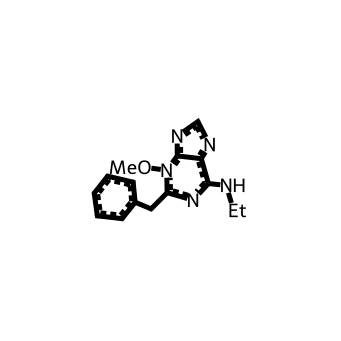 CCNc1nc(Cc2ccccc2)n(OC)c2ncnc1-2